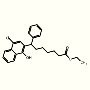 CCOC(=O)CCCCCC(c1ccccc1)c1cc(Cl)c2ccccc2c1O